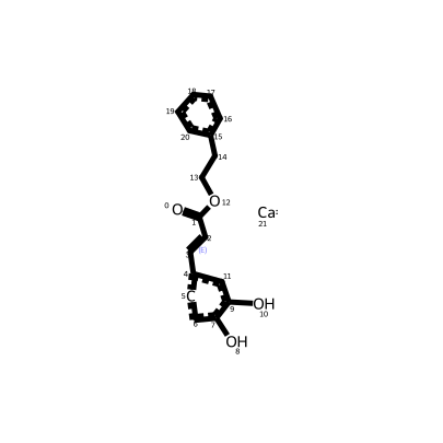 O=C(/C=C/c1ccc(O)c(O)c1)OCCc1ccccc1.[Ca]